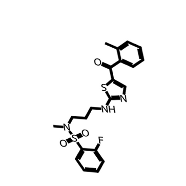 Cc1ccccc1C(=O)c1cnc(NCCCN(C)S(=O)(=O)c2ccccc2F)s1